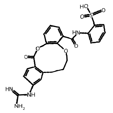 N=C(N)Nc1ccc2c(c1)CCCOc1c(cccc1C(=O)Nc1ccccc1S(=O)(=O)O)OC2=O